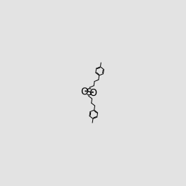 Cc1ccc(CCCCS(=O)(=O)CCCCc2ccc(C)cc2)cc1